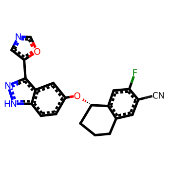 N#Cc1cc2c(cc1F)[C@@H](Oc1ccc3[nH]nc(-c4cnco4)c3c1)CCC2